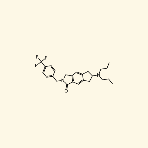 CCCN(CCC)C1Cc2cc3c(cc2C1)C(=O)N(Cc1ccc(C(F)(F)F)cc1)C3